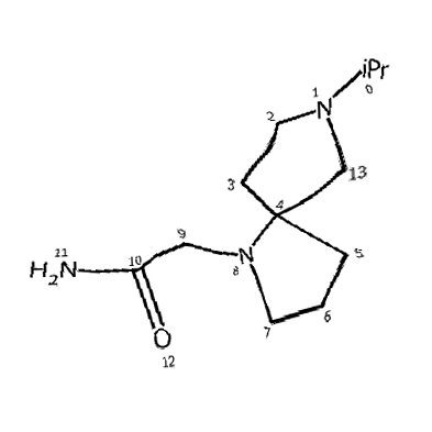 CC(C)N1CCC2(CCCN2CC(N)=O)C1